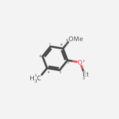 CCOc1cc(C)ccc1OC